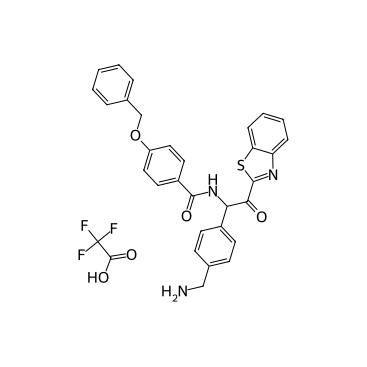 NCc1ccc(C(NC(=O)c2ccc(OCc3ccccc3)cc2)C(=O)c2nc3ccccc3s2)cc1.O=C(O)C(F)(F)F